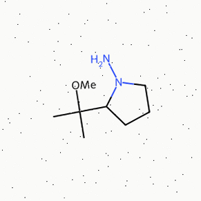 COC(C)(C)C1CCCN1N